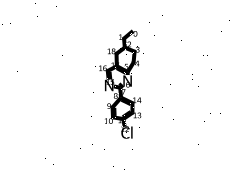 CCC1CCc2nc(-c3ccc(Cl)cc3)ncc2C1